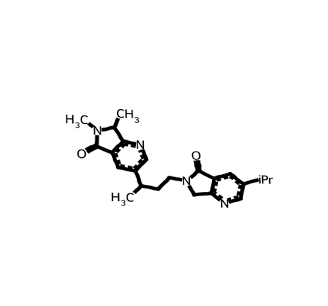 CC(C)c1cnc2c(c1)C(=O)N(CCC(C)c1cnc3c(c1)C(=O)N(C)C3C)C2